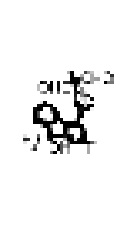 CC(C=O)(C=O)n1cc(-c2cc(F)cc3c2-c2ccccc2C3(O)C(F)(F)F)cn1